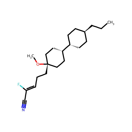 CCC[C@H]1CC[C@H]([C@H]2CC[C@@](CCC=C(F)C#N)(OC)CC2)CC1